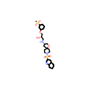 CS(=O)(=O)c1cccc(OC[C@@H](O)CN[C@H]2COC3(CCN(S(=O)(=O)c4cnc5ccccc5c4)CC3)C2)c1